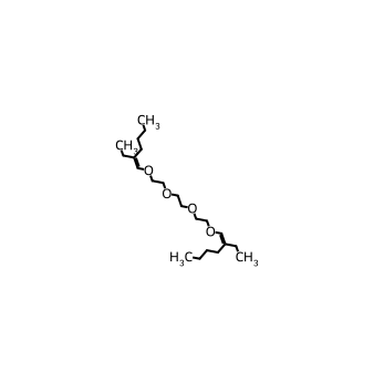 CCCCC(=COCCOCCOCCO/C=C(/CC)CCCC)CC